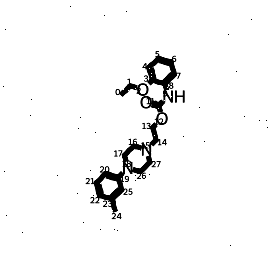 CCOc1ccccc1NC(=O)OCCN1CCN(c2cccc(C)c2)CC1